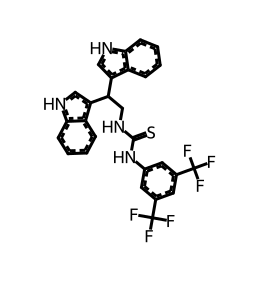 FC(F)(F)c1cc(NC(=S)NCC(c2c[nH]c3ccccc23)c2c[nH]c3ccccc23)cc(C(F)(F)F)c1